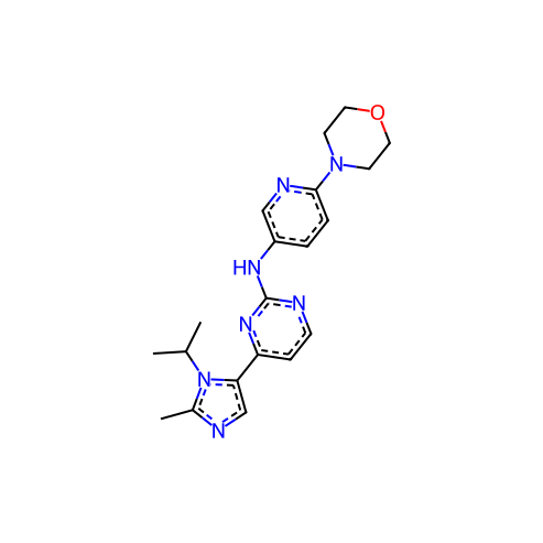 Cc1ncc(-c2ccnc(Nc3ccc(N4CCOCC4)nc3)n2)n1C(C)C